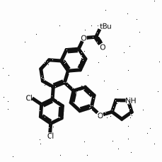 CC(C)(C)C(=O)Oc1ccc2c(c1)CCCC(c1ccc(Cl)cc1Cl)=C2c1ccc(OC2CCNC2)cc1